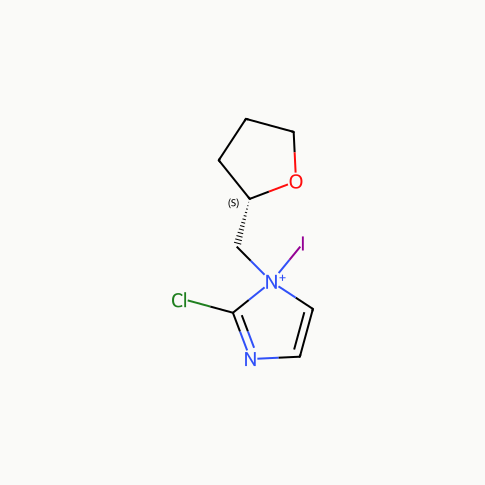 ClC1=NC=C[N+]1(I)C[C@@H]1CCCO1